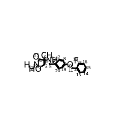 CC(CO)(NCc1ccc(OCc2ccccc2F)cc1)C(N)=O